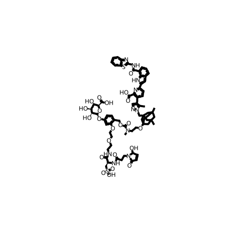 Cc1c(-c2ccc(-c3cc4cccc(C(=O)Nc5nc6ccccc6s5)c4[nH]3)nc2C(=O)O)cnn1CC12CC3(C)CC(C)(C1)CC(OCCN(C)C(=O)OCc1ccc(O[C@@H]4O[C@H](C(=O)O)[C@@H](O)[C@H](O)[C@H]4O)cc1OCCOCCNC(=O)[C@H](CS(=O)(=O)O)NC(=O)CCN1C(=O)C=CC1O)(C3)C2